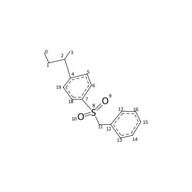 CCC(C)c1ccc(S(=O)(=O)Cc2ccccc2)cc1